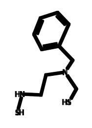 SCN(CCNS)Cc1ccccc1